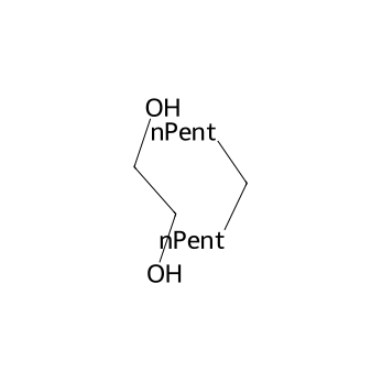 CCCCCCCCCCC.OCCO